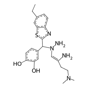 CCc1ccc2nc(C(c3ccc(O)c(O)c3)N(N)/C=C(\N)CCN(C)C)sc2c1